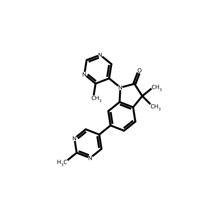 Cc1ncc(-c2ccc3c(c2)N(c2cncnc2C)C(=O)C3(C)C)cn1